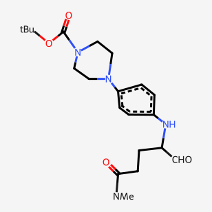 CNC(=O)CCC(C=O)Nc1ccc(N2CCN(C(=O)OC(C)(C)C)CC2)cc1